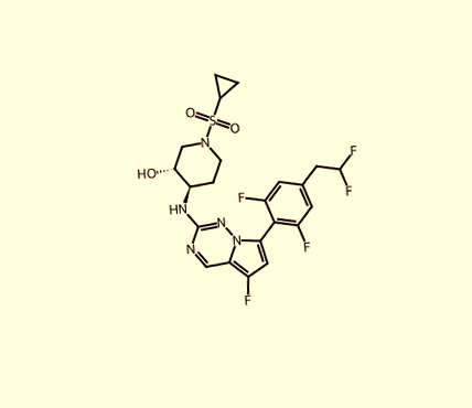 O=S(=O)(C1CC1)N1CC[C@@H](Nc2ncc3c(F)cc(-c4c(F)cc(CC(F)F)cc4F)n3n2)[C@H](O)C1